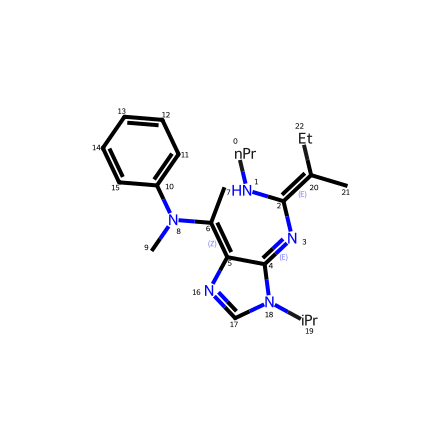 CCCNC(/N=C1\C(=C(/C)N(C)c2ccccc2)N=CN1C(C)C)=C(/C)CC